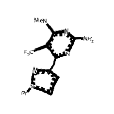 CNc1nc(N)nc(-c2ccn(C(C)C)n2)c1C(F)(F)F